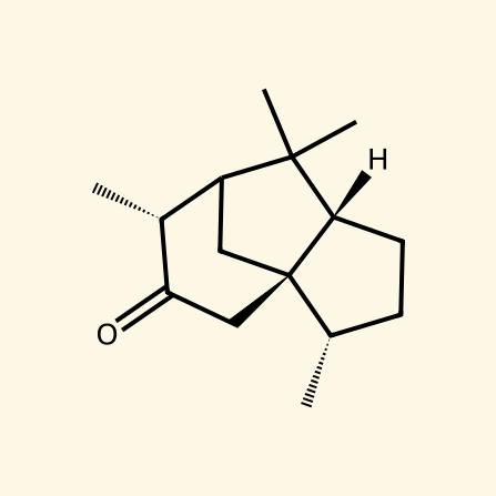 C[C@H]1C(=O)C[C@@]23CC1C(C)(C)[C@@H]2CC[C@@H]3C